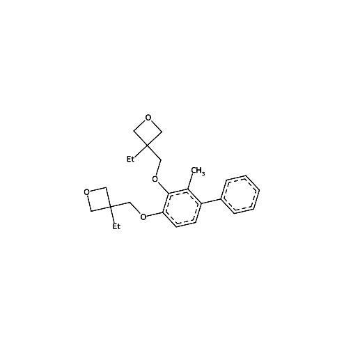 CCC1(COc2ccc(-c3ccccc3)c(C)c2OCC2(CC)COC2)COC1